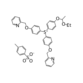 CCOC(C)Oc1ccc([S+](c2ccc(OCc3ccccn3)cc2)c2ccc(OCc3ccccn3)cc2)cc1.Cc1ccc(S(=O)(=O)[O-])cc1